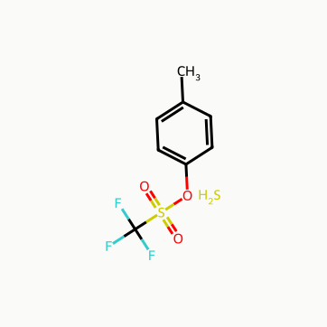 Cc1ccc(OS(=O)(=O)C(F)(F)F)cc1.S